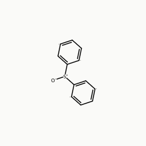 [O-][S+](c1[c]cc[c]c1)c1[c]cc[c]c1